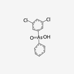 O=[As](O)(c1ccccc1)c1cc(Cl)cc(Cl)c1